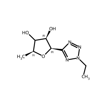 CCn1nnc([C@H]2O[C@@H](C)C(O)[C@H]2O)n1